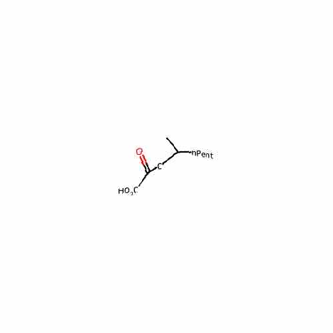 CCCCCC(C)CC(=O)C(=O)O